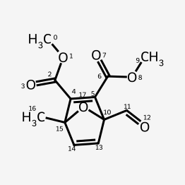 COC(=O)C1=C(C(=O)OC)C2(C=O)C=CC1(C)O2